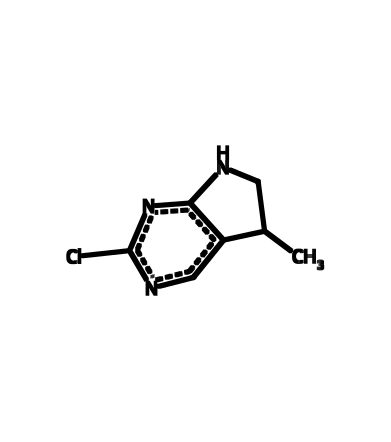 CC1CNc2nc(Cl)ncc21